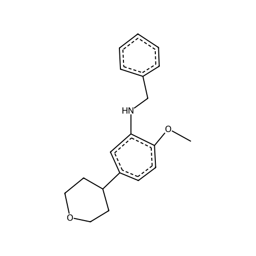 COc1ccc(C2CCOCC2)cc1NCc1ccccc1